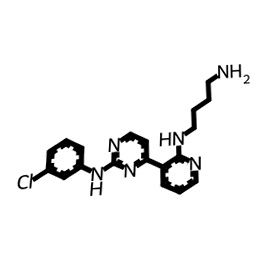 NCCCCNc1ncccc1-c1ccnc(Nc2cccc(Cl)c2)n1